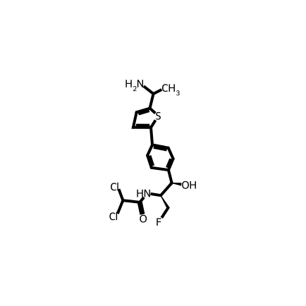 CC(N)c1ccc(-c2ccc([C@@H](O)[C@@H](CF)NC(=O)C(Cl)Cl)cc2)s1